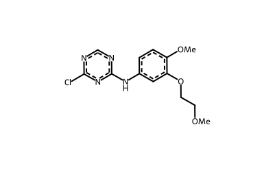 COCCOc1cc(Nc2ncnc(Cl)n2)ccc1OC